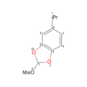 COC1Oc2ccc([C](C)C)cc2O1